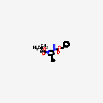 CC(C)(C)OC(=O)N1CC(NC(=O)OCc2ccccc2)CC(C2CC2)C1